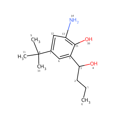 CCCC(O)c1cc(C(C)(C)C)cc(N)c1O